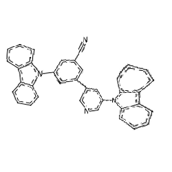 N#Cc1cc(-c2cncc(-n3c4ccccc4c4ccccc43)c2)cc(-n2c3ccccc3c3ccccc32)c1